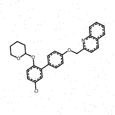 Clc1ccc(OC2CCCCO2)c(-c2ccc(OCc3ccc4ccccc4n3)cc2)c1